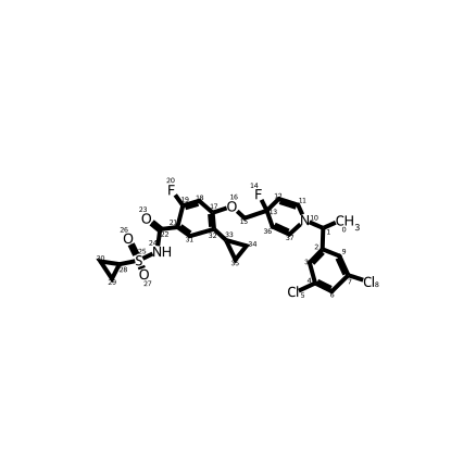 CC(c1cc(Cl)cc(Cl)c1)N1C=CC(F)(COc2cc(F)c(C(=O)NS(=O)(=O)C3CC3)cc2C2CC2)C=C1